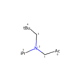 CC(=O)CN(CC(C)(C)C)C(C)C